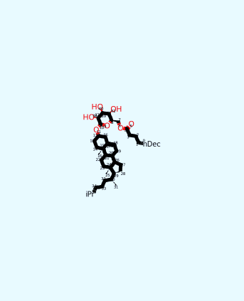 CCCCCCCCCCCCCC(=O)OC[C@H]1OC(OC2CC[C@@]3(C)C(=CCC4C3CC[C@@]3(C)C4CC[C@@H]3[C@H](C)CCCC(C)C)C2)[C@H](O)[C@@H](O)[C@@H]1O